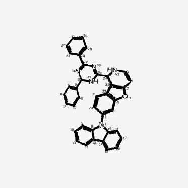 C1=Cc2oc3cc(-n4c5ccccc5c5ccccc54)ccc3c2C(C2=NC(c3ccccc3)=NC(c3ccccc3)N2)N1